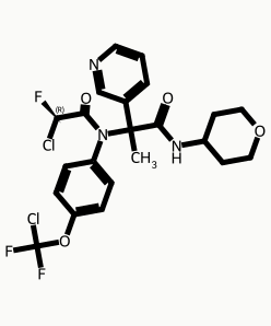 CC(C(=O)NC1CCOCC1)(c1cccnc1)N(C(=O)[C@H](F)Cl)c1ccc(OC(F)(F)Cl)cc1